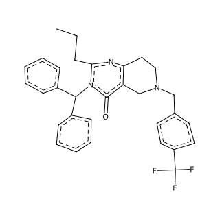 CCCc1nc2c(c(=O)n1C(c1ccccc1)c1ccccc1)CN(Cc1ccc(C(F)(F)F)cc1)CC2